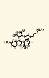 CNCCCn1cc(C2=C(c3c[nH]c4ccc(O)cc34)C(=O)NC2=O)c2cc(O)ccc21